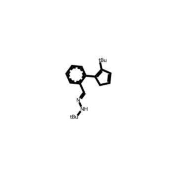 CC(C)(C)N/N=C/c1ccccc1C1=C(C(C)(C)C)C=CC1